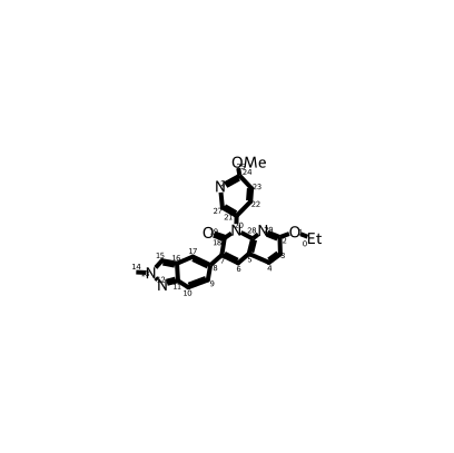 CCOc1ccc2cc(-c3ccc4nn(C)cc4c3)c(=O)n(-c3ccc(OC)nc3)c2n1